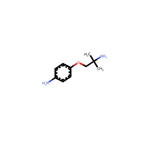 CC(C)(N)COc1ccc(N)cc1